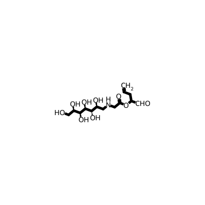 C=CCC(C=O)OC(=O)CNC[C@H](O)[C@H](O)[C@H](O)[C@@H](O)[C@H](O)CO